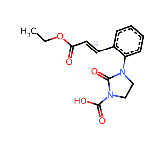 CCOC(=O)/C=C/c1ccccc1N1CCN(C(=O)O)C1=O